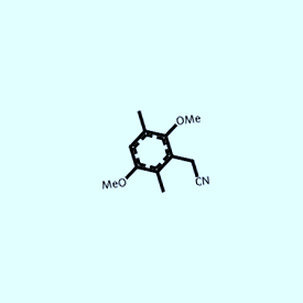 COc1cc(C)c(OC)c(CC#N)c1C